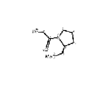 COC[C@@H]1CCCN1C(=O)CC(C)C